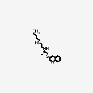 CCCCCNCCNC(=O)CSc1cnc2ccccc2c1